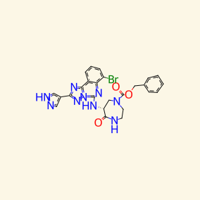 O=C1NCCN(C(=O)OCc2ccccc2)C[C@H]1Nc1nc2c(Br)cccc2c2nc(-c3cn[nH]c3)nn12